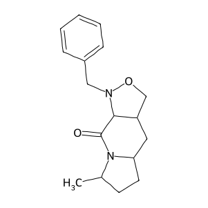 CC1CCC2CC3CON(Cc4ccccc4)C3C(=O)N12